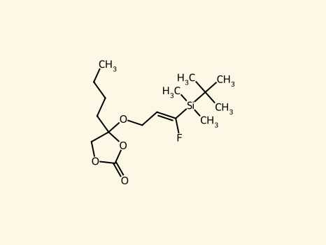 CCCCC1(OC/C=C(\F)[Si](C)(C)C(C)(C)C)COC(=O)O1